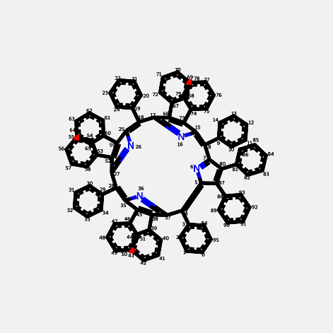 c1ccc(C2=C3N=C(C(c4ccccc4)=C4N=C(C(c5ccccc5)=C5N=C(C(c6ccccc6)=C6N=C2C(c2ccccc2)=C6c2ccccc2)C(c2ccccc2)=C5c2ccccc2)C(c2ccccc2)=C4c2ccccc2)C(c2ccccc2)=C3c2ccccc2)cc1